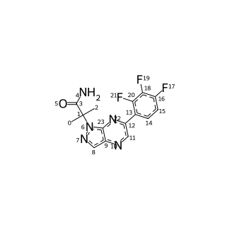 CC(C)(C(N)=O)n1ncc2ncc(-c3ccc(F)c(F)c3F)nc21